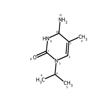 CC1=CN(C(C)C)C(=O)NC1N